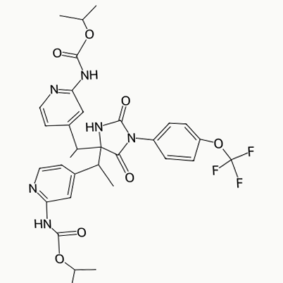 CC(C)OC(=O)Nc1cc(C(C)C2(C(C)c3ccnc(NC(=O)OC(C)C)c3)NC(=O)N(c3ccc(OC(F)(F)F)cc3)C2=O)ccn1